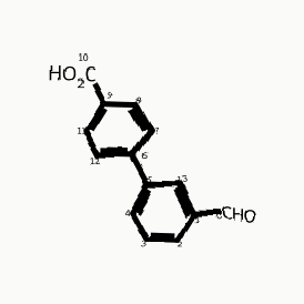 O=Cc1cccc(-c2ccc(C(=O)O)cc2)c1